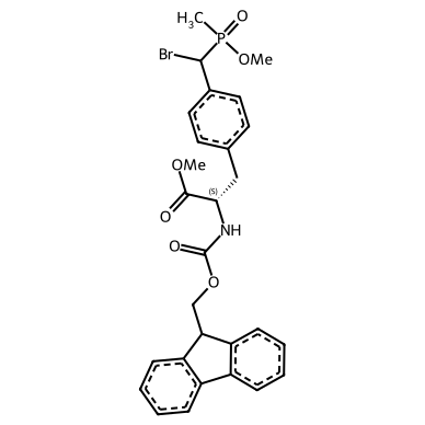 COC(=O)[C@H](Cc1ccc(C(Br)P(C)(=O)OC)cc1)NC(=O)OCC1c2ccccc2-c2ccccc21